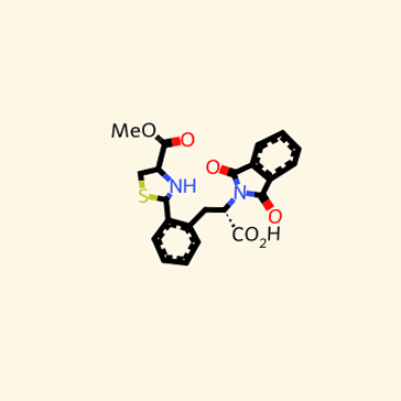 COC(=O)C1CSC(c2ccccc2C[C@@H](C(=O)O)N2C(=O)c3ccccc3C2=O)N1